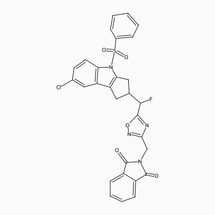 O=C1c2ccccc2C(=O)N1Cc1noc(C(F)C2Cc3c(n(S(=O)(=O)c4ccccc4)c4ccc(Cl)cc34)C2)n1